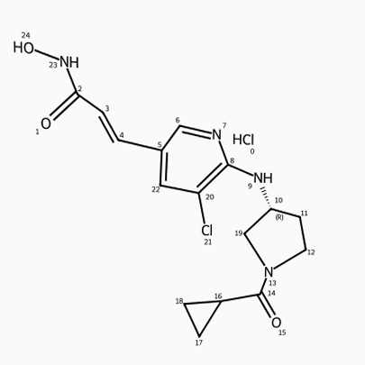 Cl.O=C(C=Cc1cnc(N[C@@H]2CCN(C(=O)C3CC3)C2)c(Cl)c1)NO